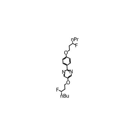 CCCC[C@@H](F)CCOc1cnc(-c2ccc(OCC[C@H](F)CCC)cc2)nc1